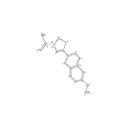 COc1ccc2cc(C3=N[C@H](C(=O)O)CS3)ccc2c1